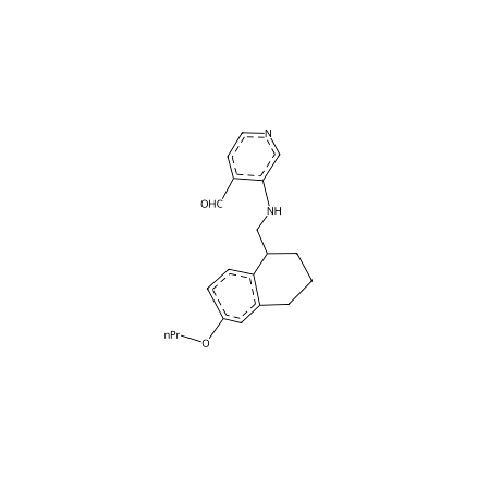 CCCOc1ccc2c(c1)CCCC2CNc1cnccc1C=O